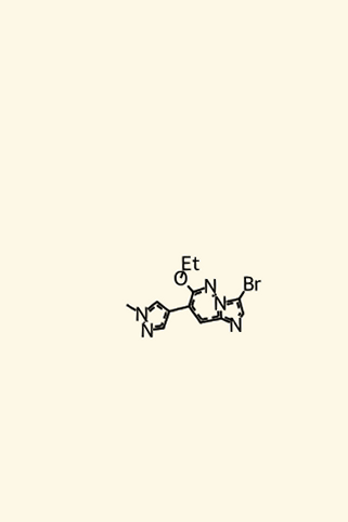 CCOc1nn2c(Br)cnc2cc1-c1cnn(C)c1